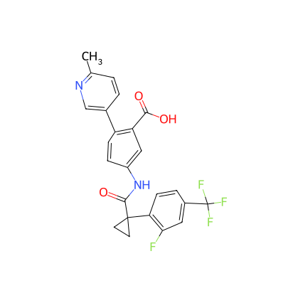 Cc1ccc(-c2ccc(NC(=O)C3(c4ccc(C(F)(F)F)cc4F)CC3)cc2C(=O)O)cn1